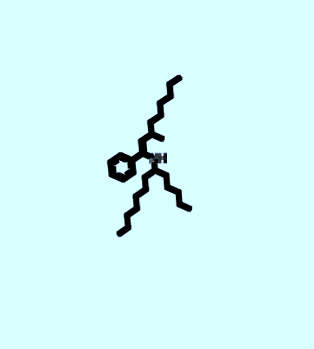 CCCCCCCC(CCCCC)N/C(=C\C(C)CCCCCC)c1ccccc1